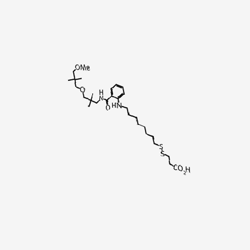 COCC(C)(C)COCC(C)(C)CNC(=O)c1ccccc1NCCCCCCCCSSCCC(=O)O